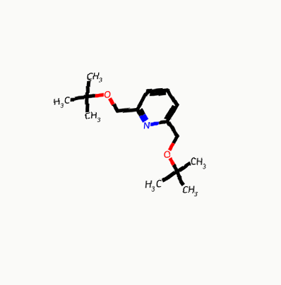 CC(C)(C)OCc1cccc(COC(C)(C)C)n1